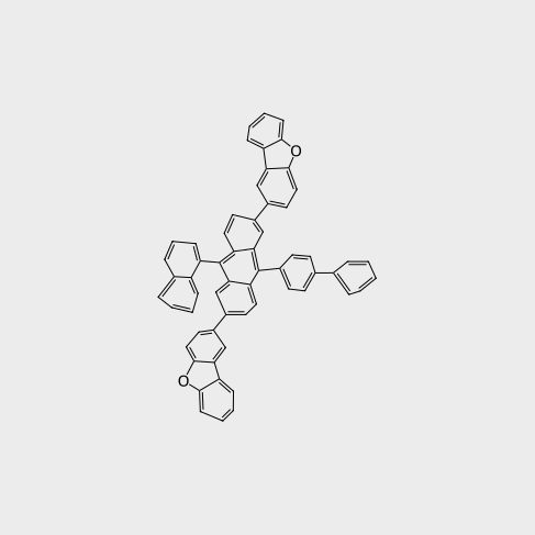 c1ccc(-c2ccc(-c3c4cc(-c5ccc6oc7ccccc7c6c5)ccc4c(-c4cccc5ccccc45)c4cc(-c5ccc6oc7ccccc7c6c5)ccc34)cc2)cc1